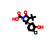 CC(C)(C)C1C(=O)N(C(=O)O)C[C@H]1c1ccc(Cl)c(O)c1